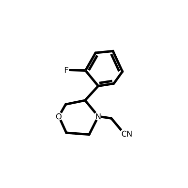 N#CCN1CCOCC1c1ccccc1F